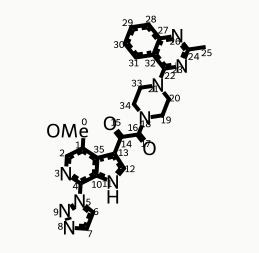 COc1cnc(-n2ccnn2)c2[nH]cc(C(=O)C(=O)N3CCN(c4nc(C)nc5ccccc45)CC3)c12